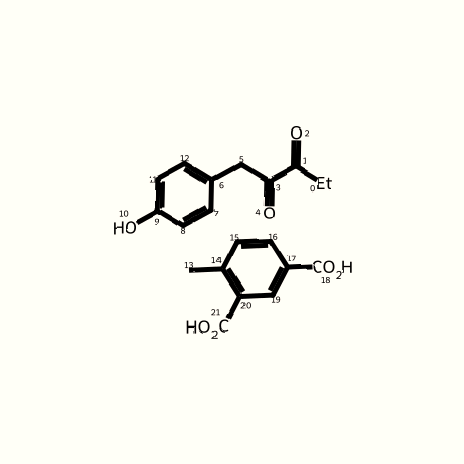 CCC(=O)C(=O)Cc1ccc(O)cc1.Cc1ccc(C(=O)O)cc1C(=O)O